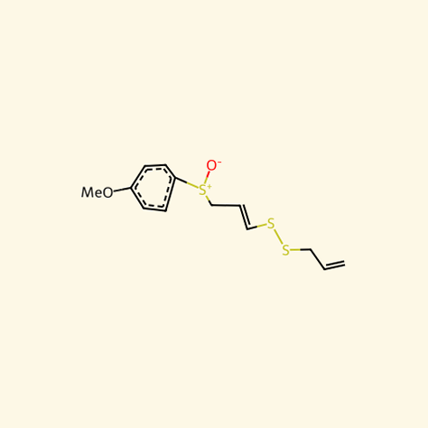 C=CCSSC=CC[S+]([O-])c1ccc(OC)cc1